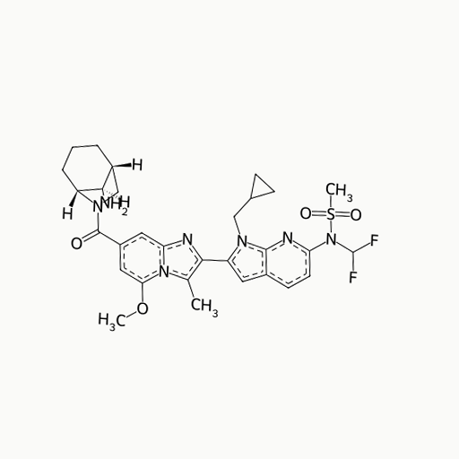 COc1cc(C(=O)N2C[C@H]3CCC[C@@H]2[C@@H]3N)cc2nc(-c3cc4ccc(N(C(F)F)S(C)(=O)=O)nc4n3CC3CC3)c(C)n12